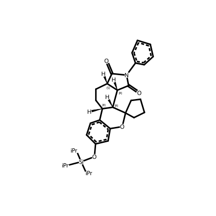 CC(C)[Si](Oc1ccc2c(c1)OC1(CCCC1)[C@H]1[C@H]3C(=O)N(c4ccccc4)C(=O)[C@H]3CC[C@@H]21)(C(C)C)C(C)C